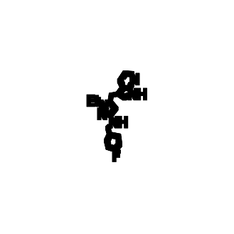 CCn1nc(NCc2ccc(F)cc2)cc1Cc1c[nH]c2ncccc12